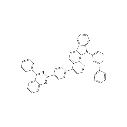 c1ccc(-c2cccc(-n3c4ccccc4c4ccc5c(-c6ccc(-c7nc(-c8ccccc8)c8ccccc8n7)cc6)cccc5c43)c2)cc1